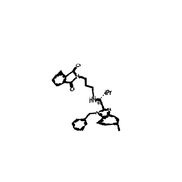 Cc1ccc2c(c1)nc([C@H](NCCCN1C(=O)c3ccccc3C1=O)C(C)C)n2Cc1ccccc1